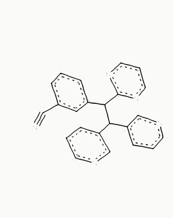 N#Cc1cccc(C(c2ncccn2)C(c2cccnc2)c2cccnc2)c1